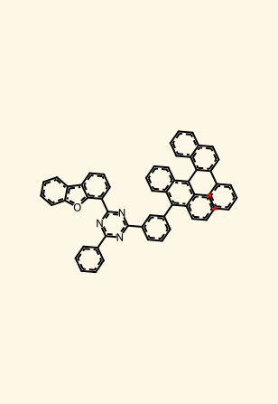 c1ccc(-c2nc(-c3cccc(-c4c5ccccc5c(-c5c(-c6ccccc6)ccc6ccccc56)c5ccccc45)c3)nc(-c3cccc4c3oc3ccccc34)n2)cc1